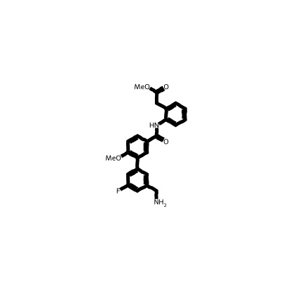 COC(=O)Cc1ccccc1NC(=O)c1ccc(OC)c(-c2cc(F)cc(CN)c2)c1